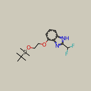 CC(C)(C)[Si](C)(C)OCCOc1cccc2[nH]c(C(F)F)nc12